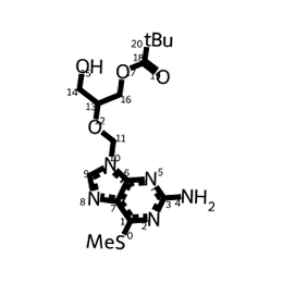 CSc1nc(N)nc2c1ncn2COC(CO)COC(=O)C(C)(C)C